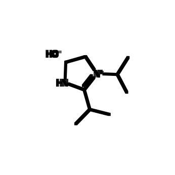 CC(C)C1=[N+](C(C)C)CCN1.[OH-]